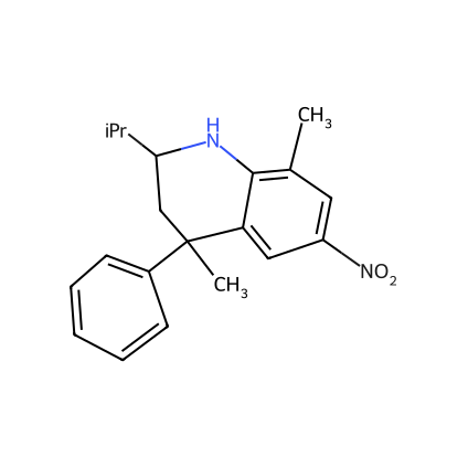 Cc1cc([N+](=O)[O-])cc2c1NC(C(C)C)CC2(C)c1ccccc1